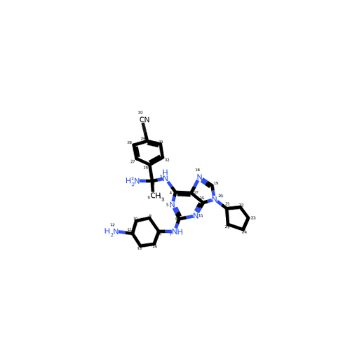 CC(N)(Nc1nc(NC2CCC(N)CC2)nc2c1ncn2C1CCCC1)c1ccc(C#N)cc1